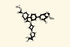 CC[C@H](C)n1cnc2cc(-c3ccc4c(c3)N(C3CC(N5CCC6(C5)CC6(F)F)C3)C(=O)C43CCN(C(=O)OC(C)(C)C)CC3)nc(Cl)c21